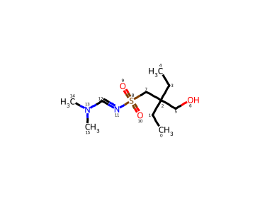 CCC(CC)(CO)CS(=O)(=O)N=CN(C)C